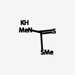 CNC(=S)SC.[KH]